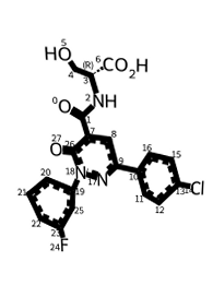 O=C(N[C@H](CO)C(=O)O)c1cc(-c2ccc(Cl)cc2)nn(-c2cccc(F)c2)c1=O